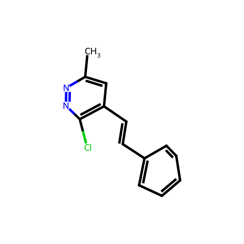 Cc1cc(C=Cc2ccccc2)c(Cl)nn1